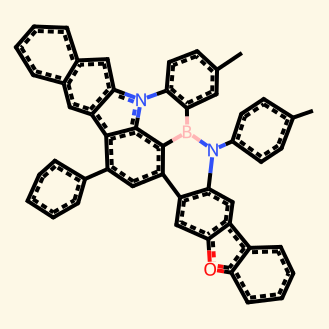 Cc1ccc(N2B3c4cc(C)ccc4-n4c5cc6ccccc6cc5c5c(-c6ccccc6)cc(c3c54)-c3cc4oc5ccccc5c4cc32)cc1